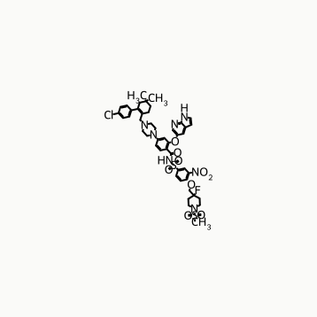 CC1(C)CCC(CN2CCN(c3ccc(C(=O)NS(=O)(=O)c4ccc(OCC5(F)CCN(S(C)(=O)=O)CC5)c([N+](=O)[O-])c4)c(Oc4cnc5[nH]ccc5c4)c3)CC2)=C(c2ccc(Cl)cc2)C1